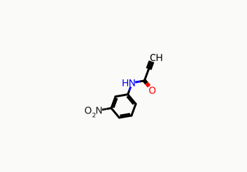 C#CC(=O)Nc1cccc([N+](=O)[O-])c1